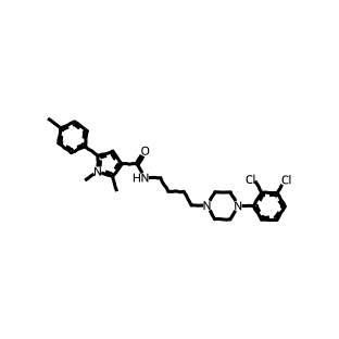 Cc1ccc(-c2cc(C(=O)NCCCCN3CCN(c4cccc(Cl)c4Cl)CC3)c(C)n2C)cc1